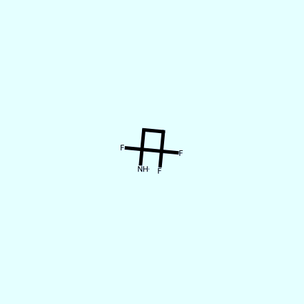 [NH]C1(F)CCC1(F)F